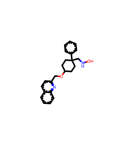 ONCC1(c2ccccc2)CCC(OCc2ccc3ccccc3n2)CC1